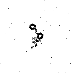 CC(C)CN(C)c1nc2cccc(SCc3ccccc3)c2[nH]1